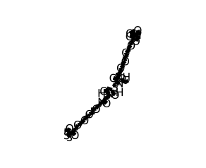 CCC(=O)N[C@@H](CSC1CC(=O)N(CCC(=O)NCCOCCOCCOCCOCCC(=O)C2(C(C)=O)SS2)C1=O)C(=O)NCCOCCOCCOCCOCCC(=O)C(C(C)=O)(C(C)=O)C(C)=O